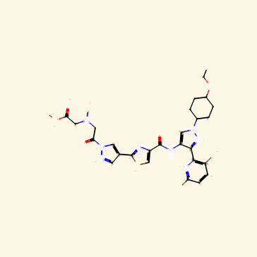 CCOC1CCC(n2cc(NC(=O)c3csc(-c4cnn(C(=O)CN(C)CC(=O)OC)c4)n3)c(-c3nc(F)ccc3F)n2)CC1